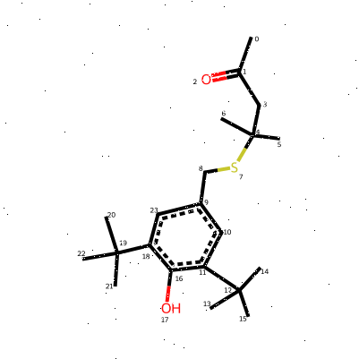 CC(=O)CC(C)(C)SCc1cc(C(C)(C)C)c(O)c(C(C)(C)C)c1